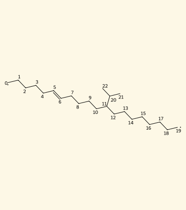 [CH2]CCCC/C=C/CCCCC(CCCCCCC[CH2])C(C)C